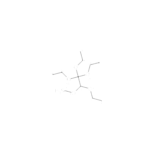 CCOC(O[SiH3])C(OCC)(OCC)OCC